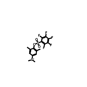 Cc1cc([S+](C)C)cc(C)c1OS(=O)(=O)c1c(F)c(F)c(F)c(F)c1F